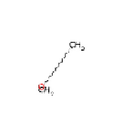 [CH2]OC/C=C/CCCCCCCCCCCCCCC